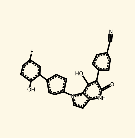 N#Cc1ccc(-c2c(O)c3c(ccn3-c3ccc(-c4cc(F)ccc4O)cc3)[nH]c2=O)cc1